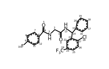 O=C(CNC(=O)c1ccc(F)cc1)NC(c1ccccc1)c1cc(C(F)(F)F)ccc1Cl